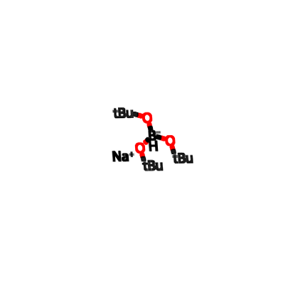 CC(C)(C)O[BH-](OC(C)(C)C)OC(C)(C)C.[Na+]